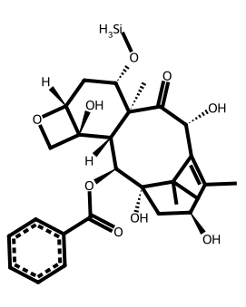 CC1=C2[C@@H](O)C(=O)[C@]3(C)[C@@H](O[SiH3])C[C@H]4OC[C@@]4(O)[C@H]3[C@H](OC(=O)c3ccccc3)[C@](O)(C[C@@H]1O)C2(C)C